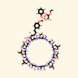 CCOC(=O)[C@H](C)OP(=O)(COc1ccc(/C=C/C[C@@H](C)[C@@H](O)[C@H]2C(=O)N[C@@H](CC)C(=O)N(C)CC(=O)N(C)[C@@H](CC(C)C)C(=O)N[C@@H](C(C)C)C(=O)N(C)[C@@H](CC(C)C)C(=O)N[C@@H](C)C(=O)N[C@H](C)C(=O)N(C)[C@@H](CC(C)C)C(=O)N(C)[C@@H](CC(C)C)C(=O)N(C)[C@@H](C(C)C)C(=O)N2C)cc1)Oc1ccccc1